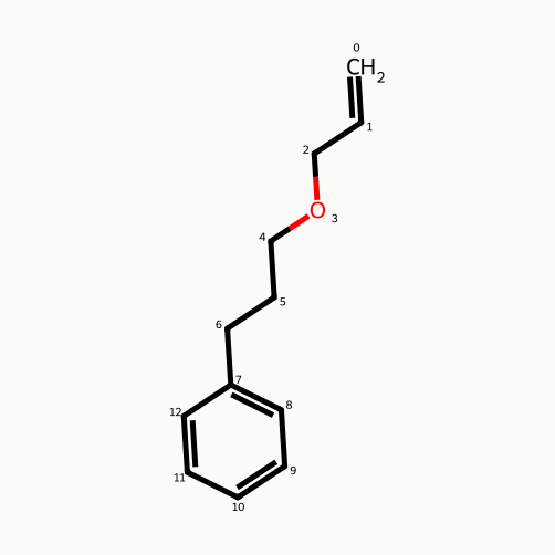 C=CCOCCCc1ccccc1